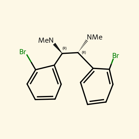 CN[C@H](c1ccccc1Br)[C@H](NC)c1ccccc1Br